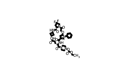 CCOC(=O)ON1CCN(C(=O)[C@H](CCC(=O)O)NC(=O)c2cc(OCC(=O)N3CC(F)(F)C[C@H]3C(=O)NC3CCC3)n(-c3ccccc3)n2)CC1